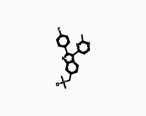 Cc1nccc(-c2c(-c3ccc(F)cc3)nc3cc(C[N+](C)(C)[O-])ccn23)n1